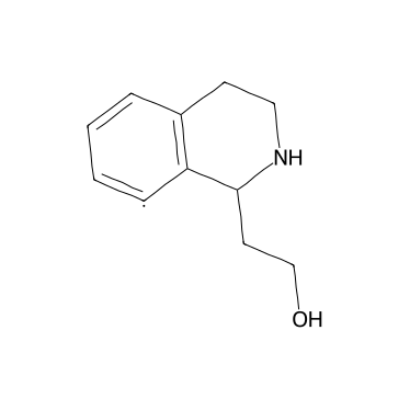 OCCC1NCCc2ccc[c]c21